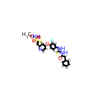 CONS(=O)(=O)c1cc2nccc(Oc3ccc(NC(=S)NC(=O)Cc4ccccc4)cc3F)c2s1